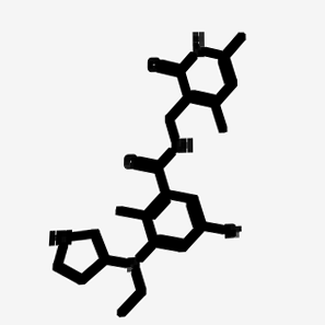 CCN(c1cc(Br)cc(C(=O)NCc2c(C)cc(C)[nH]c2=O)c1C)C1CCNC1